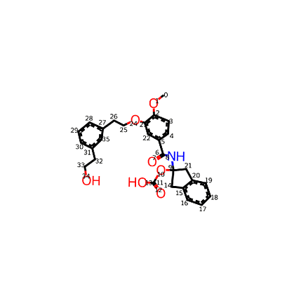 COc1ccc(C(=O)NC2(OC(=O)O)Cc3ccccc3C2)cc1OCCc1cccc(CCO)c1